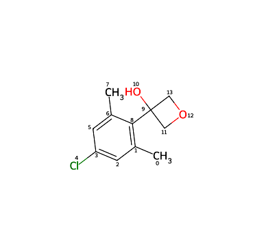 Cc1cc(Cl)cc(C)c1C1(O)COC1